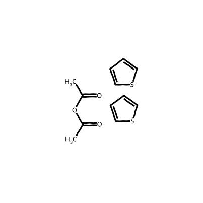 CC(=O)OC(C)=O.c1ccsc1.c1ccsc1